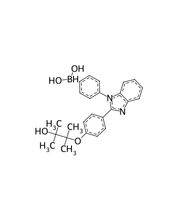 CC(C)(O)C(C)(C)Oc1ccc(-c2nc3ccccc3n2-c2ccccc2)cc1.OBO